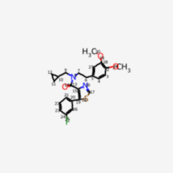 COc1ccc(CCN(CC2CC2)C(=O)c2ncsc2-c2cccc(F)c2)cc1OC